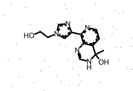 CC1(O)NC=Nc2c1ccnc2-c1cn(CCO)cn1